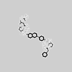 COC(=O)C[C@H](C(=O)N1CCC[C@H]1C(=O)Nc1ccc2cc(-c3ccc(NC(=O)[C@@H]4CCCN4C(=O)Cc4ccccc4)cc3)ccc2c1)C(C)C